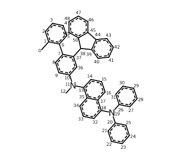 Cc1ccccc1-c1ccc(N(C)c2cccc3c(N(c4ccccc4)c4ccccc4)cccc23)cc1C1c2ccccc2-c2ccccc21